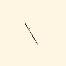 CCCCCCCCCCCCCCCCC(CO)CCCCCCCC